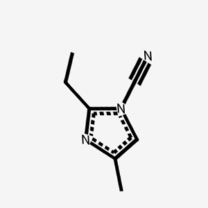 CCc1nc(C)cn1C#N